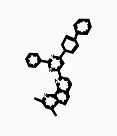 Cc1cc(C)c2ccc3ccc(-c4cc(C5C=CC(c6ccccc6)=CC5)nc(-c5ccccc5)n4)nc3c2n1